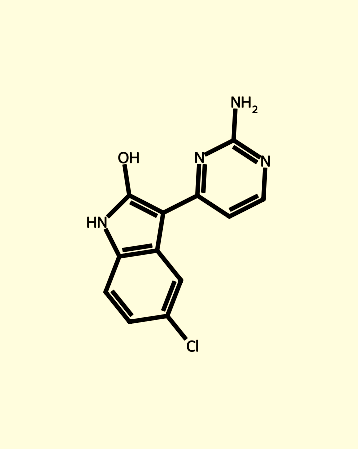 Nc1nccc(-c2c(O)[nH]c3ccc(Cl)cc23)n1